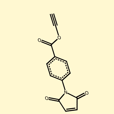 C#COC(=O)c1ccc(N2C(=O)C=CC2=O)cc1